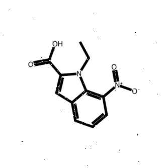 CCn1c(C(=O)O)cc2cccc([N+](=O)[O-])c21